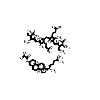 C=CC1=C(C)/C(=C/c2[nH]c(Cc3[nH]c(/C=C4\NC(=O)C(C)=C4C=C)c(C)c3CCC(=O)O)c(CCC(=O)O)c2C)NC1=O.CC(=O)C(=O)O[C@H]1CC[C@@]2(C)C(=CC[C@H]3[C@@H]4CC[C@H]([C@H](C)CCCC(C)C)[C@@]4(C)CC[C@@H]32)C1